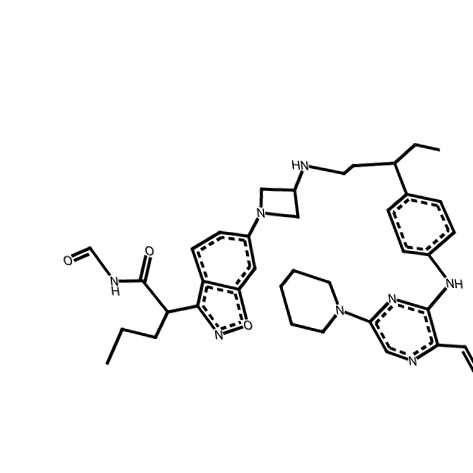 CCCC(C(=O)NC=O)c1noc2cc(N3CC(NCCC(CC)c4ccc(Nc5nc(N6CCCCC6)cnc5C=O)cc4)C3)ccc12